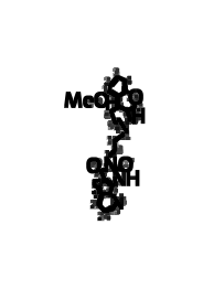 COc1cccc2c1[C@H]1CCN(CCCCn3c(=O)[nH]c4c(sc5cccnc54)c3=O)C[C@@H]1CO2